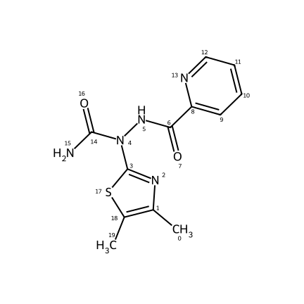 Cc1nc(N(NC(=O)c2ccccn2)C(N)=O)sc1C